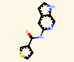 O=C(Nc1cc2cc[nH]c2cn1)c1ccsc1